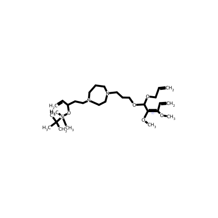 C=CCOC(OCCCN1CCCN(CCC(C=C)O[Si](C)(C)C(C)(C)C)CC1)/C(OC)=C(\C=C)OC